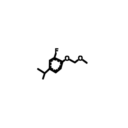 COCOc1ccc(C(C)C)cc1F